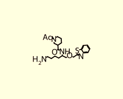 CC(=O)N1CCCC(C(=O)NC(CCCCN)COCc2nc3ccccc3s2)C1